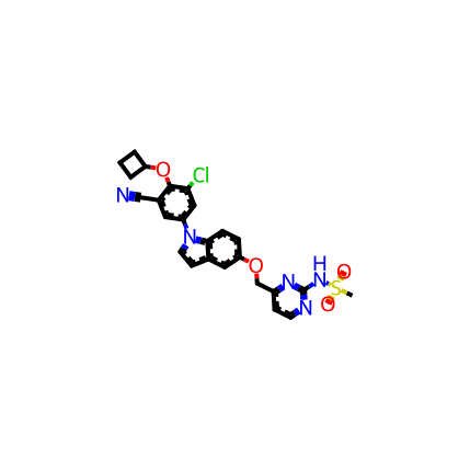 CS(=O)(=O)Nc1nccc(COc2ccc3c(ccn3-c3cc(Cl)c(OC4CCC4)c(C#N)c3)c2)n1